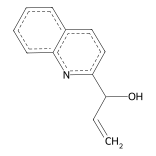 C=CC(O)c1ccc2ccccc2n1